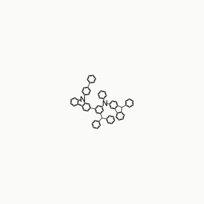 c1ccc(-c2ccc(-n3c4ccccc4c4ccc(-c5cc(C(c6ccccc6)c6ccccc6)cc(N(c6ccccc6)c6ccc7c(c6)-c6ccccc6C7c6ccccc6)c5)cc43)cc2)cc1